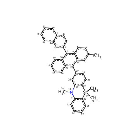 Cc1ccc2c(-c3ccc4ccccc4c3)c3ccccc3c(-c3ccc4c(c3)N(C)c3ccccc3[Si]4(C)C)c2c1